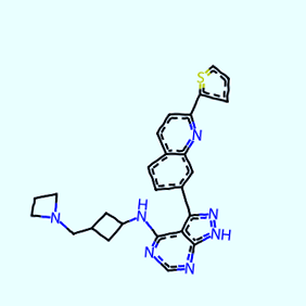 c1csc(-c2ccc3ccc(-c4n[nH]c5ncnc(NC6CC(CN7CCC7)C6)c45)cc3n2)c1